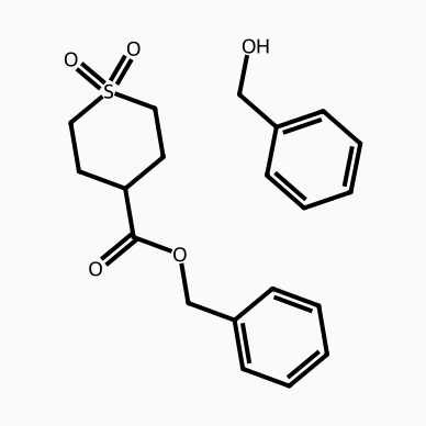 O=C(OCc1ccccc1)C1CCS(=O)(=O)CC1.OCc1ccccc1